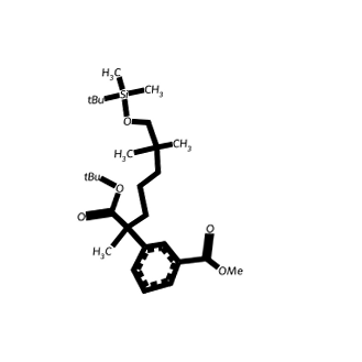 COC(=O)c1cccc(C(C)(CCCC(C)(C)CO[Si](C)(C)C(C)(C)C)C(=O)OC(C)(C)C)c1